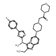 CCc1nc2ccc(N3CCN(CC(=O)N4CCOCC4)CC3)cn2c1N(C)c1nc(-c2ccc(F)cc2)cs1